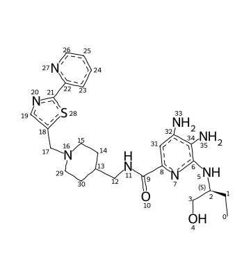 CC[C@@H](CO)Nc1nc(C(=O)NCC2CCN(Cc3cnc(-c4ccccn4)s3)CC2)cc(N)c1N